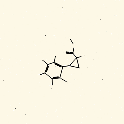 CC(C)(C)OC(=O)C1(C#N)CC1c1c(F)c(F)c(F)c(F)c1F